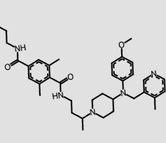 CCCNC(=O)c1cc(C)c(C(=O)NCCC(C)N2CCC(N(Cc3cnccc3C)c3ccc(OC)cc3)CC2)c(C)c1